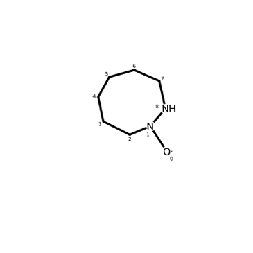 [O]N1CCCCCCN1